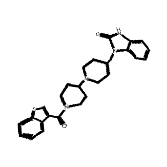 O=C(c1csc2ccccc12)N1CCC(N2CCC(n3c(=O)[nH]c4ccccc43)CC2)CC1